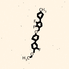 CCOCc1ccc(-c2ccc(OCc3ccc(-c4ccc(C)cc4)c(F)c3F)cc2)cc1F